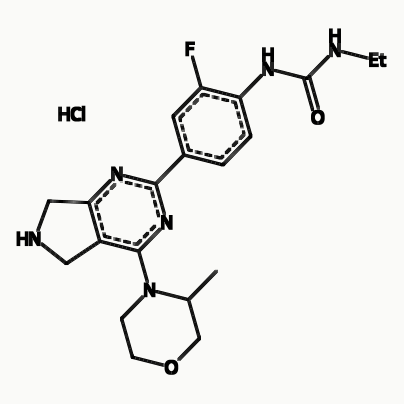 CCNC(=O)Nc1ccc(-c2nc3c(c(N4CCOCC4C)n2)CNC3)cc1F.Cl